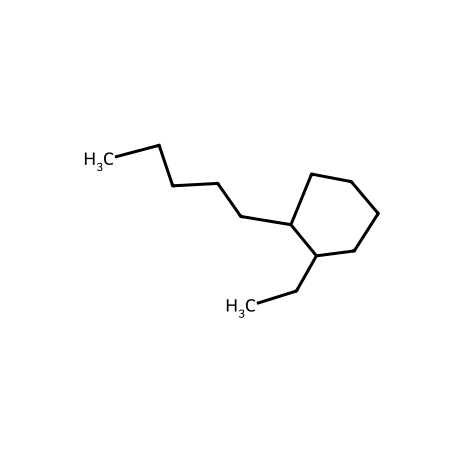 CCCCCC1CCCCC1CC